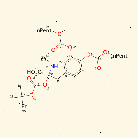 CCCCCOC(=O)Oc1ccc(C[C@](NC(C)C)(OC(=O)OC(C)(C)CC)C(=O)O)cc1OC(=O)OCCCCC